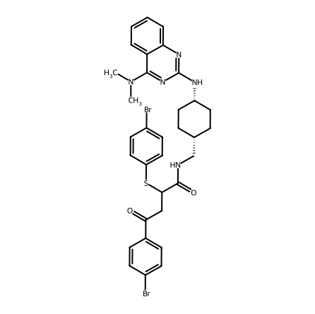 CN(C)c1nc(N[C@H]2CC[C@@H](CNC(=O)C(CC(=O)c3ccc(Br)cc3)Sc3ccc(Br)cc3)CC2)nc2ccccc12